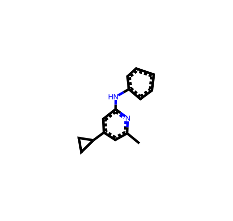 Cc1cc(C2CC2)cc(Nc2ccccc2)n1